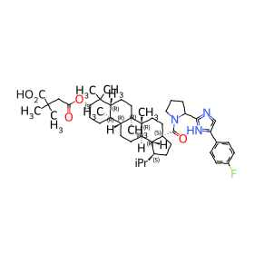 CC(C)[C@@H]1CC[C@]2(C(=O)N3CCCC3c3ncc(-c4ccc(F)cc4)[nH]3)CC[C@]3(C)[C@H](CC[C@@H]4[C@@]5(C)CC[C@H](OC(=O)CC(C)(C)C(=O)O)C(C)(C)[C@@H]5CC[C@]43C)[C@@H]12